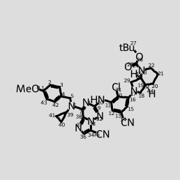 COc1ccc(CN(c2nc(Nc3cc(C#N)cc(N4C[C@@H]5CCCN(C(=O)OC(C)(C)C)[C@@H]5C4)c3Cl)nn3c(C#N)cnc23)C2CC2)cc1